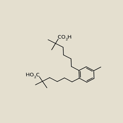 Cc1ccc(CCCCC(C)(C)C(=O)O)c(CCCCC(C)(C)C(=O)O)c1